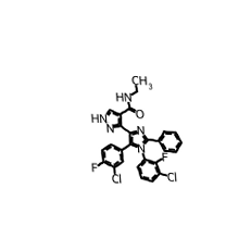 CCNC(=O)c1c[nH]nc1-c1nc(-c2ccccc2)n(-c2cccc(Cl)c2F)c1-c1ccc(F)c(Cl)c1